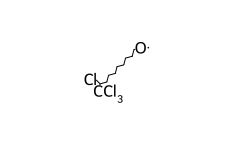 [O]CCCCCCCCC(Cl)C(Cl)(Cl)Cl